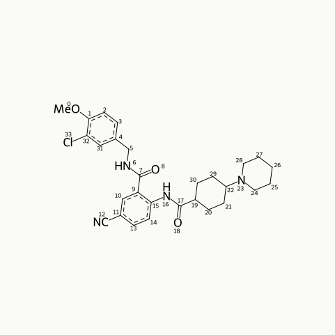 COc1ccc(CNC(=O)c2cc(C#N)ccc2NC(=O)C2CCC(N3CCCCC3)CC2)cc1Cl